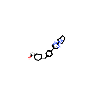 CC(=O)[C@H]1CC[C@@H](Cc2ccc(-c3cnc(N4C5CCC4CN(C)C5)nc3)cc2)CC1